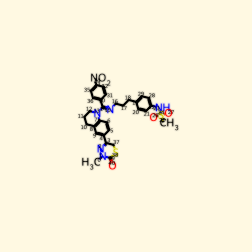 CN1N=C(c2ccc3c(c2)CCCN3C(=NCCCc2ccc(NS(C)(=O)=O)cc2)c2ccc([N+](=O)[O-])cc2)CSC1=O